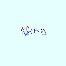 NN(C(=O)c1ccco1)C1CCN(CCc2ccccc2)CC1